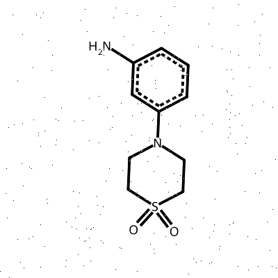 Nc1cccc(N2CCS(=O)(=O)CC2)c1